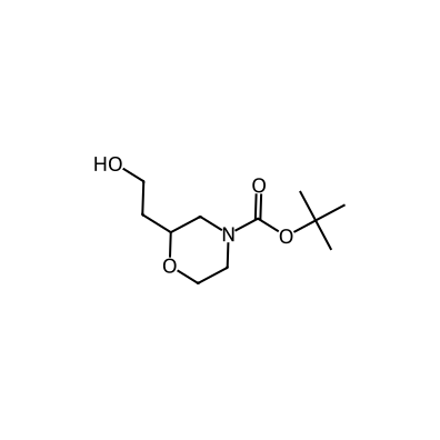 CC(C)(C)OC(=O)N1CCOC(CCO)C1